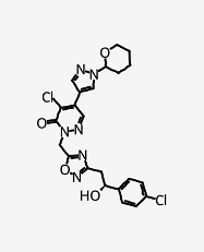 O=c1c(Cl)c(-c2cnn(C3CCCCO3)c2)cnn1Cc1nc(C[C@H](O)c2ccc(Cl)cc2)no1